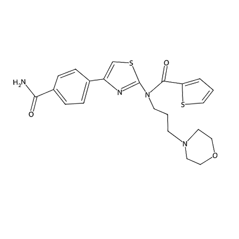 NC(=O)c1ccc(-c2csc(N(CCCN3CCOCC3)C(=O)c3cccs3)n2)cc1